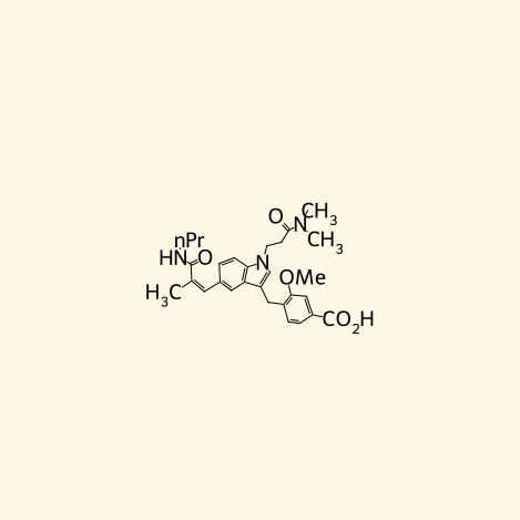 CCCNC(=O)C(C)=Cc1ccc2c(c1)c(Cc1ccc(C(=O)O)cc1OC)cn2CCC(=O)N(C)C